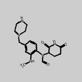 CNc1cc(CN2CCNCC2)ccc1N(C=O)C1CCC(=O)NC1=O